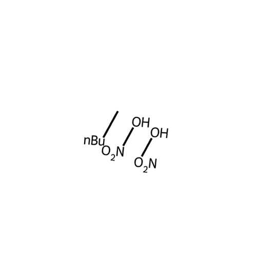 CCCCC.O=[N+]([O-])O.O=[N+]([O-])O